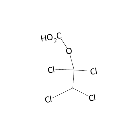 O=C(O)OC(Cl)(Cl)C(Cl)Cl